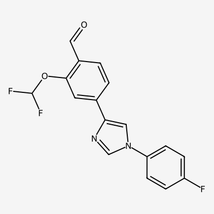 O=Cc1ccc(-c2cn(-c3ccc(F)cc3)cn2)cc1OC(F)F